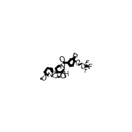 COc1cccc([C@]23CCN(C(=O)c4ccc(OCCOC(F)(F)F)c(OC)c4)C[C@H]2OCO3)n1